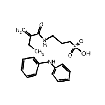 C=C(CC)C(=O)NCCCS(=O)(=O)O.c1ccc(Nc2ccccc2)cc1